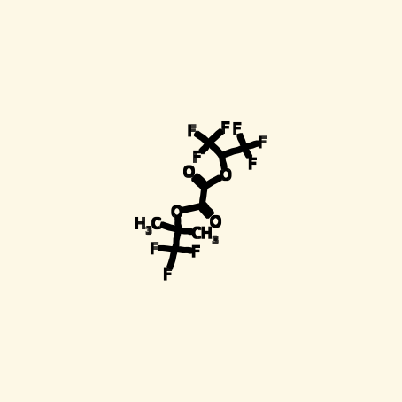 CC(C)(OC(=O)C(=O)OC(C(F)(F)F)C(F)(F)F)C(F)(F)F